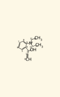 C#CC(O)c1ccccc1N(CC)CC